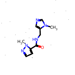 Cn1cncc1CNC(=O)c1ccnn1C